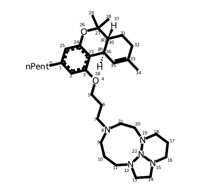 CCCCCc1cc(OCCCN2CCCN3CCN4CCCN(CC2)N34)c2c(c1)OC(C)(C)[C@@H]1CCC(C)=C[C@@H]21